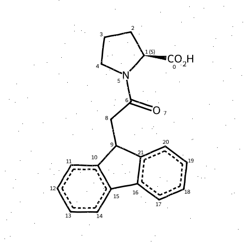 O=C(O)[C@@H]1CCCN1C(=O)CC1c2ccccc2-c2ccccc21